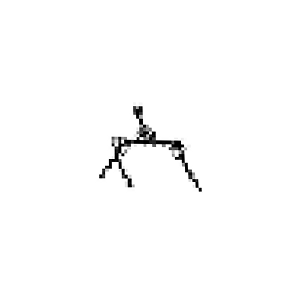 CCCCCCCCCOC(=O)C(C)(C)CCCCC(CCCCC(C)(C)C(=O)OCC(CCCCC)CCCCCCC)OC(=O)CCCCN(C)C